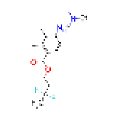 CCN(C)/C=N/c1ccc(C(=O)OCCC(F)(F)C(F)(F)F)c(C)c1C